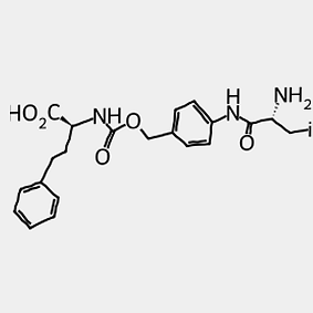 CC(C)C[C@@H](N)C(=O)Nc1ccc(COC(=O)N[C@@H](CCc2ccccc2)C(=O)O)cc1